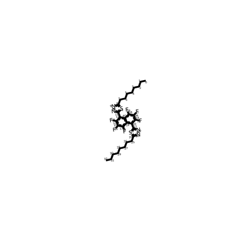 CCCCCCCCc1nnc(-c2c(F)c(F)c(F)c3c(-c4nnc(CCCCCCCC)s4)c(F)c(F)c(F)c23)s1